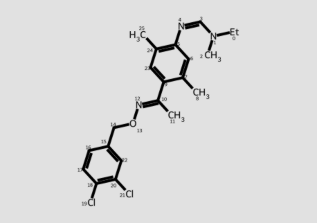 CCN(C)/C=N\c1cc(C)c(/C(C)=N/OCc2ccc(Cl)c(Cl)c2)cc1C